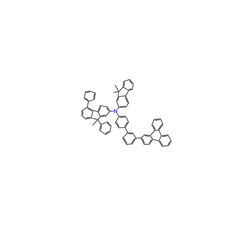 CC1(C)c2ccccc2-c2ccc(N(c3ccc(-c4cccc(-c5ccc6c7ccccc7c7ccccc7c6c5)c4)cc3)c3ccc4c(c3)C(C)(c3ccccc3)c3cccc(-c5ccccc5)c3-4)cc21